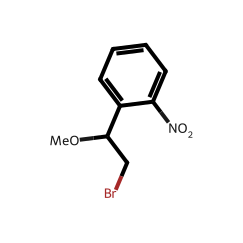 COC(CBr)c1ccccc1[N+](=O)[O-]